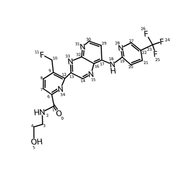 O=C(NCCO)c1ccc(CF)c(-c2cnc3c(Nc4ccc(C(F)(F)F)cn4)ccnc3n2)n1